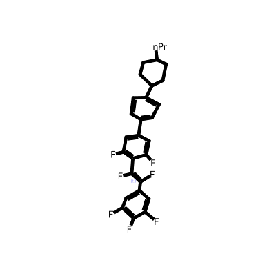 CCCC1CCC(c2ccc(-c3cc(F)c(/C(F)=C(\F)c4cc(F)c(F)c(F)c4)c(F)c3)cc2)CC1